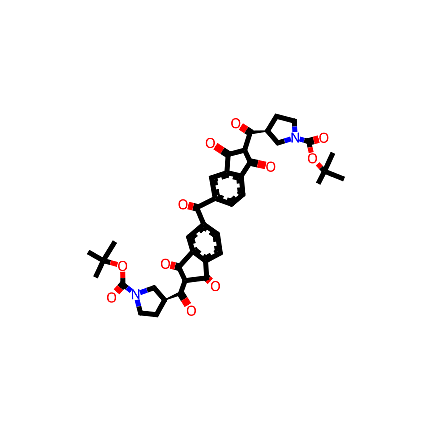 CC(C)(C)OC(=O)N1CC[C@H](C(=O)C2C(=O)c3ccc(C(=O)c4ccc5c(c4)C(=O)C(C(=O)[C@H]4CCN(C(=O)OC(C)(C)C)C4)C5=O)cc3C2=O)C1